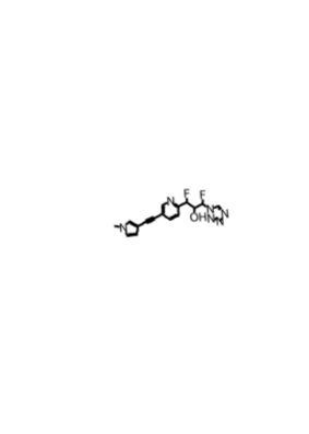 Cn1ccc(C#Cc2ccc(C(F)C(O)C(F)n3cnnn3)nc2)c1